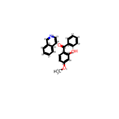 COc1ccc(C(=O)c2ccccc2)c(O)c1.c1ccc2cnccc2c1